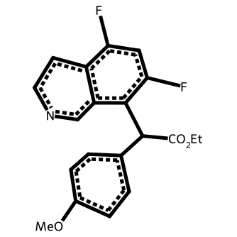 CCOC(=O)C(c1ccc(OC)cc1)c1c(F)cc(F)c2ccncc12